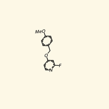 COc1ccc(COc2ccnc(F)c2)cc1